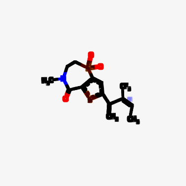 C=C(/C(=C\C)C(F)(F)F)c1cc2c(s1)C(=O)N(C)CCS2(=O)=O